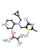 Cc1nc(Cl)c(CN(CC2CC2)C2CCNCC2)s1.O=C(O)C(O)C(O)C(=O)O